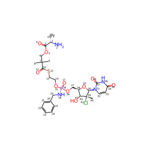 CC(C)[C@H](N)C(=O)OCC(C)(C)C(=O)SCCO[P@](=O)(NCc1ccccc1)OC[C@H]1O[C@@H](n2ccc(=O)[nH]c2=O)[C@](C)(Cl)C1O